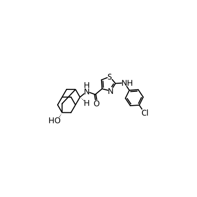 O=C(N[C@H]1C2CC3CC1C[C@](O)(C3)C2)c1csc(Nc2ccc(Cl)cc2)n1